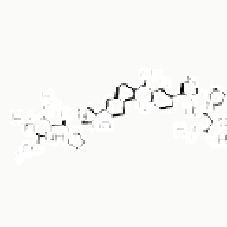 COC(=O)N[C@H](C(=O)N1CCC[C@H]1c1ncc(-c2ccc3c4c(ccc3c2)C(C)c2cc(-c3cnc([C@@H]5CCCN5C(=O)[C@@H](N)C(C)C)[nH]3)ccc2O4)[nH]1)C(C)C